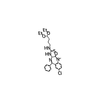 CCOC(CCCNC(=S)NC1N=C(c2ccccc2)c2cc(Cl)ccc2N(C)C1=O)OCC